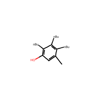 CCCCc1c(C)cc(O)c(CCCC)c1CCCC